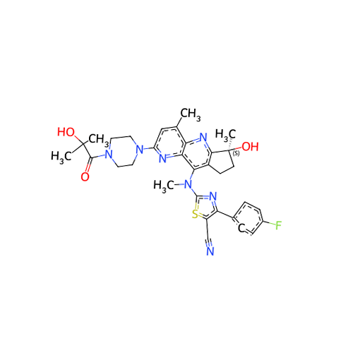 Cc1cc(N2CCN(C(=O)C(C)(C)O)CC2)nc2c(N(C)c3nc(-c4ccc(F)cc4)c(C#N)s3)c3c(nc12)[C@@](C)(O)CC3